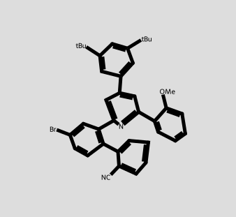 COc1ccccc1-c1cc(-c2cc(C(C)(C)C)cc(C(C)(C)C)c2)cc(-c2cc(Br)ccc2-c2ccccc2C#N)n1